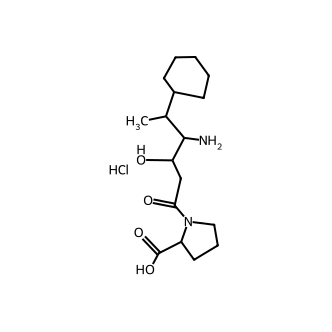 CC(C1CCCCC1)C(N)C(O)CC(=O)N1CCCC1C(=O)O.Cl